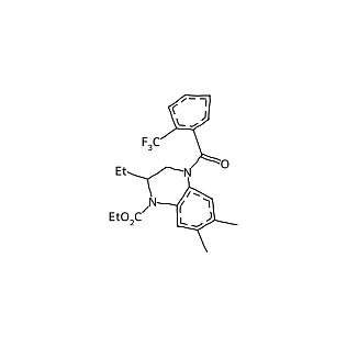 CCOC(=O)N1c2cc(C)c(C)cc2N(C(=O)c2ccccc2C(F)(F)F)CC1CC